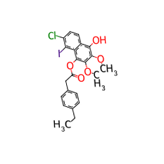 CCc1ccc(CC(=O)Oc2c(OC)c(OC)c(O)c3ccc(Cl)c(I)c23)cc1